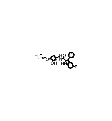 CCCOc1ccc(CNC(=O)c2[nH]c3ccc(F)cc3c2-c2ccccc2)cc1O